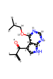 C=C(C)C(=O)c1c[nH]c2ncnc(OCC(C)C)c12